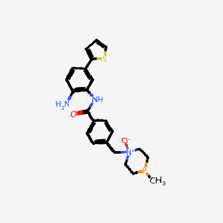 CP1CC[N+]([O-])(Cc2ccc(C(=O)Nc3cc(-c4cccs4)ccc3N)cc2)CC1